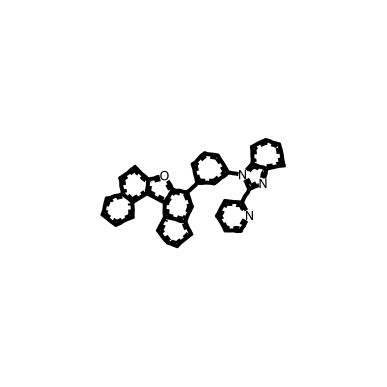 c1ccc(-c2nc3ccccc3n2-c2cccc(-c3cc4ccccc4c4c3oc3ccc5ccccc5c34)c2)nc1